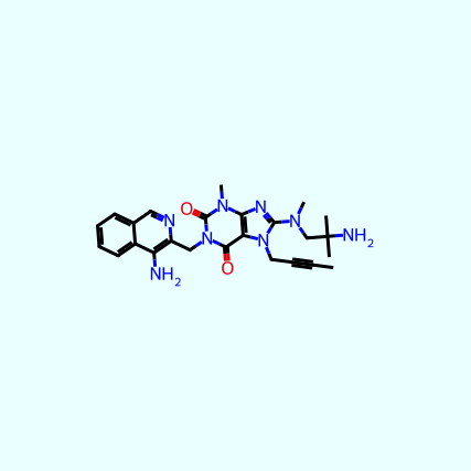 CC#CCn1c(N(C)CC(C)(C)N)nc2c1c(=O)n(Cc1ncc3ccccc3c1N)c(=O)n2C